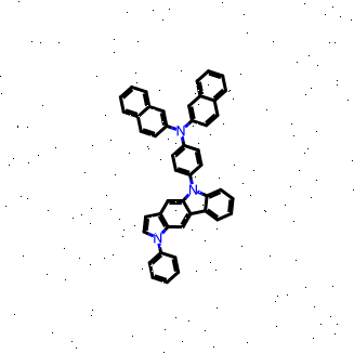 c1ccc(-n2ccc3cc4c(cc32)c2ccccc2n4-c2ccc(N(c3ccc4ccccc4c3)c3ccc4ccccc4c3)cc2)cc1